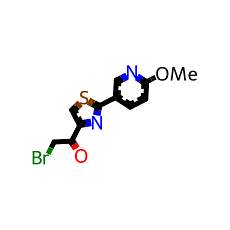 COc1ccc(-c2nc(C(=O)CBr)cs2)cn1